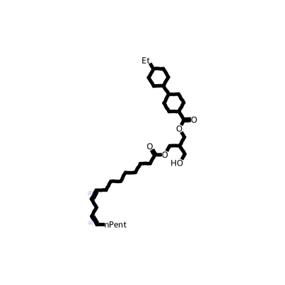 CCCCC/C=C\C/C=C\CCCCCCCC(=O)OCC(CO)COC(=O)C1CCC(C2CCC(CC)CC2)CC1